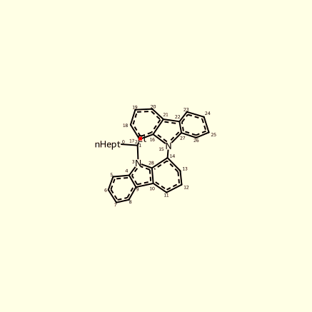 CCCCCCCC(CC)n1c2ccccc2c2cccc(-n3c4ccccc4c4ccccc43)c21